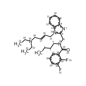 CCCCN(Cc1nc2ccccc2n1CC=CCN(CC)CC)C(=O)c1cccc(F)c1F